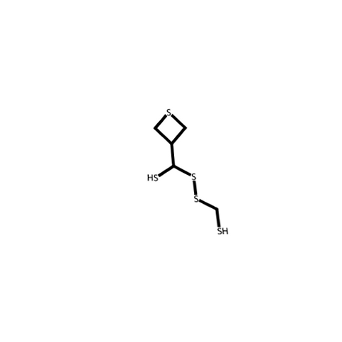 SCSSC(S)C1CSC1